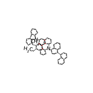 C=Cc1ccc(-c2ccccc2N(c2ccccc2-c2cccc(-n3c4ccccc4c4ccccc43)c2)c2ccc(-c3cccc4ccccc34)c3ccccc23)cc1C=C